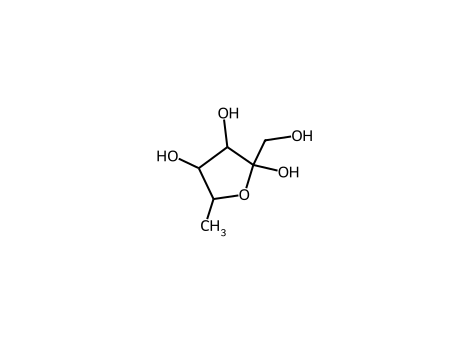 CC1OC(O)(CO)C(O)C1O